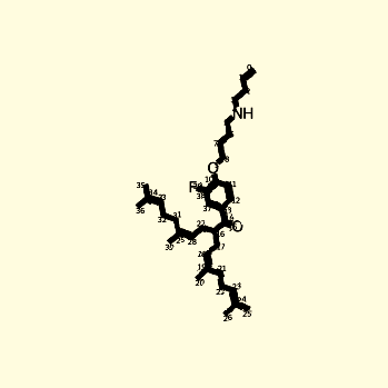 C=CCCNCC=CCOc1ccc(C(=O)C(CC=C(C)CCC=C(C)C)CC=C(C)CCC=C(C)C)cc1F